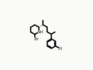 CCc1cccc(C(C)CCC(C)[C@H]2CCCC(C(C)C)N2)c1